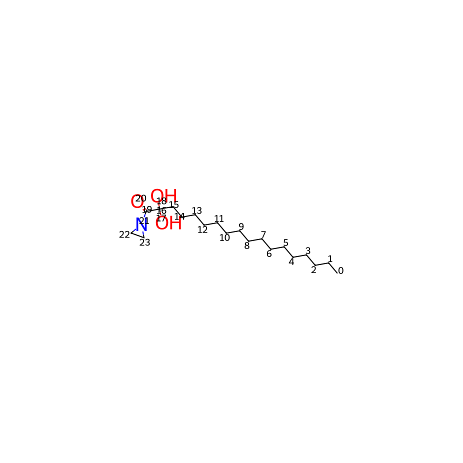 CCCCCCCCCCCCCCCCC(O)(O)C(=O)N1CC1